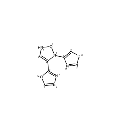 [c]1nnc(C2=CNON2c2conn2)o1